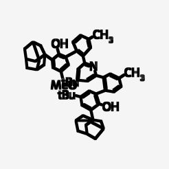 COc1cc(-c2cc(C)ccc2-c2cc(C(C)(C)C)cc(C34CC5CC(CC(C5)C3)C4)c2O)nc(-c2cc(C)ccc2-c2cc(C(C)(C)C)cc(C34CC5CC(CC(C5)C3)C4)c2O)c1